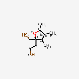 B[C@@H]1O[C@@](CS)(CCS)C(C)[C@@H]1C